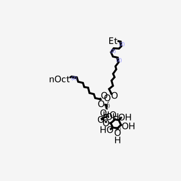 CC/C=C\C/C=C\C/C=C\CCCCCCCC(=O)OC[C@H](COP(=O)(O)OC1C(O)C(O)C(O)[C@@H](O)C1O)OC(=O)CCCCCCC/C=C\CCCCCCCC